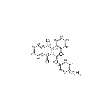 Cc1ccc(OC(=O)C2=C(c3ccccc3)C(=O)c3ccccc3C2=O)cc1